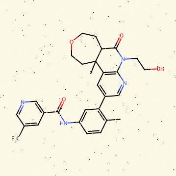 Cc1ccc(NC(=O)c2cncc(C(F)(F)F)c2)cc1-c1cnc2c(c1)C1(C)CCOCCC1C(=O)N2CCO